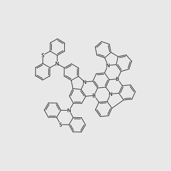 c1ccc2c(c1)Sc1ccccc1N2c1ccc2c(c1)c1cc(N3c4ccccc4Sc4ccccc43)cc3c1n2-c1cc2c4c5c1B3c1cccc3c6cccc(c6n-5c13)B4c1cccc3c4ccccc4n-2c13